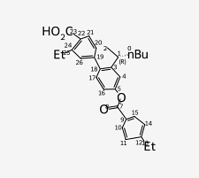 CCCC[C@@H](C)c1cc(OC(=O)c2ccc(CC)cc2)ccc1-c1ccc(C(=O)O)c(CC)c1